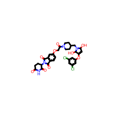 O=C1CCC(N2C(=O)c3ccc(OCC(=O)N4CCC(CN5C(O)C=C(Oc6cc(Cl)cc(Cl)c6)C5O)CC4)cc3C2=O)C(=O)N1